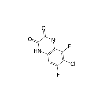 O=C1[N]c2c(cc(F)c(Cl)c2F)NC1=O